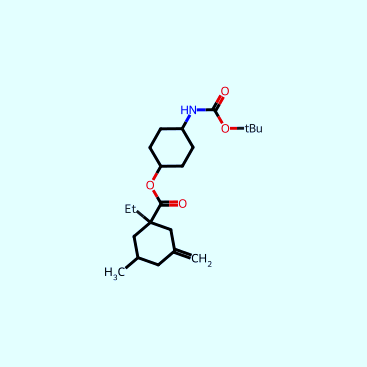 C=C1CC(C)CC(CC)(C(=O)OC2CCC(NC(=O)OC(C)(C)C)CC2)C1